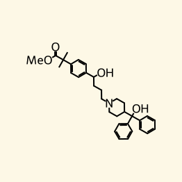 COC(=O)C(C)(C)c1ccc(C(O)CCCN2CCC(C(O)(c3ccccc3)c3ccccc3)CC2)cc1